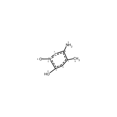 Cc1cc(O)[n+]([O-])cc1N